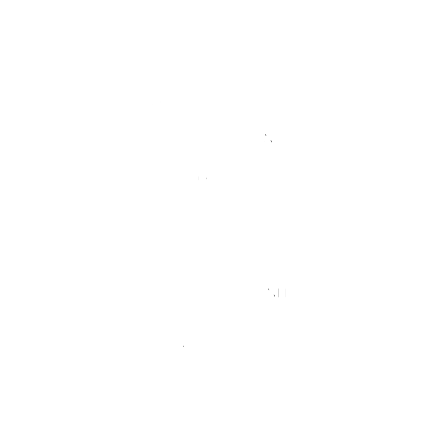 COc1ccc(-c2cc(-c3ccc(Nc4ccc(C(C)(C)C)cc4)cc3)ccn2)c(OC)c1